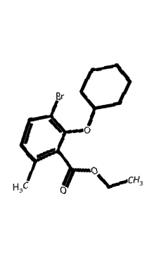 CCOC(=O)c1c(C)ccc(Br)c1OC1CCCCC1